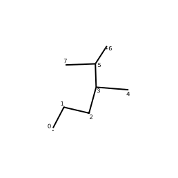 [CH2]CCC(C)C([CH2])C